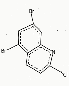 Clc1ccc2c(Br)cc(Br)cc2n1